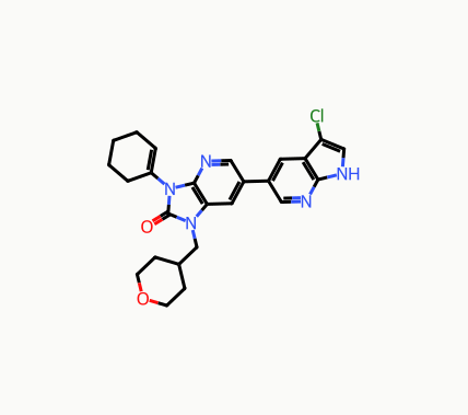 O=c1n(CC2CCOCC2)c2cc(-c3cnc4[nH]cc(Cl)c4c3)cnc2n1C1=CCCCC1